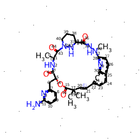 C[C@@H]1NC(=O)C(Cc2cccc(N)n2)OC(=O)C(C)(C)/C=C/c2ccc3ccc(nc3c2)N(C)NC(=O)[C@@H]2CCCN(N2)C1=O